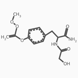 C=C(OOC)Oc1ccc(CC(NC(=O)CO)C(N)=O)cc1